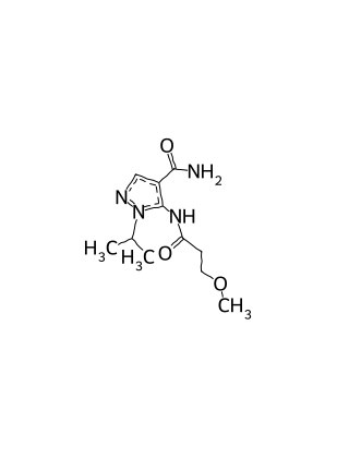 COCCC(=O)Nc1c(C(N)=O)cnn1C(C)C